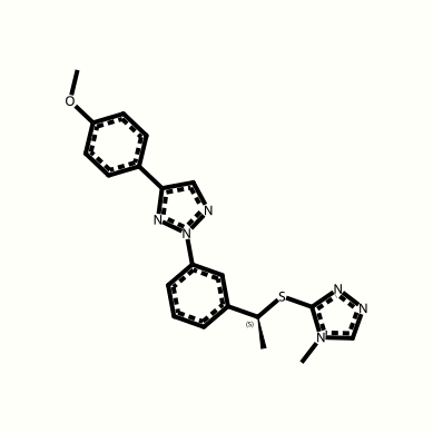 COc1ccc(-c2cnn(-c3cccc([C@H](C)Sc4nncn4C)c3)n2)cc1